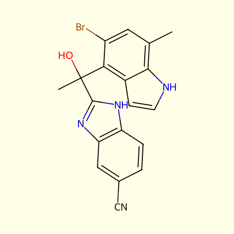 Cc1cc(Br)c(C(C)(O)c2nc3cc(C#N)ccc3[nH]2)c2cc[nH]c12